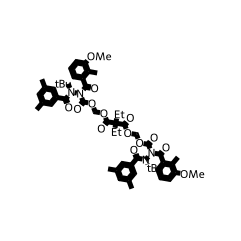 CCC(CC)(C(=O)OCOC(=O)N(C(=O)c1cccc(OC)c1C)N(C(=O)c1cc(C)cc(C)c1)C(C)(C)C)C(=O)OCOC(=O)N(C(=O)c1cccc(OC)c1C)N(C(=O)c1cc(C)cc(C)c1)C(C)(C)C